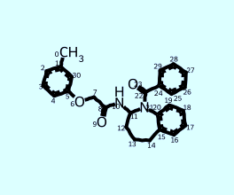 Cc1cccc(OCC(=O)NC2CCCc3ccccc3N2C(=O)c2ccccc2)c1